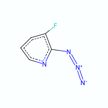 [N-]=[N+]=Nc1ncccc1F